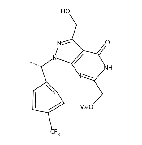 COCc1nc2c(c(CO)nn2[C@@H](C)c2ccc(C(F)(F)F)cc2)c(=O)[nH]1